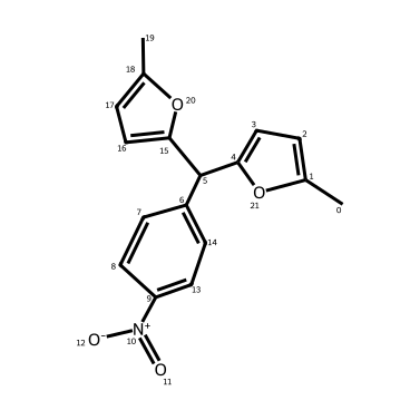 Cc1ccc(C(c2ccc([N+](=O)[O-])cc2)c2ccc(C)o2)o1